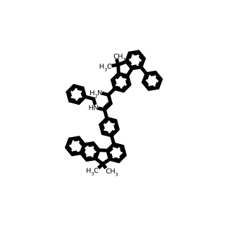 CC1(C)c2cc(C(N)/C=C(\NCc3ccccc3)c3ccc(-c4cccc5c4-c4cc6ccccc6cc4C5(C)C)cc3)ccc2-c2c(-c3ccccc3)cccc21